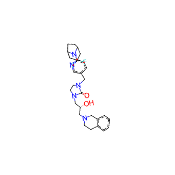 O=C1N(Cc2ccc(N3C4CCC3CC(F)(F)C4)nc2)CCN1C[C@H](O)CN1CCc2ccccc2C1